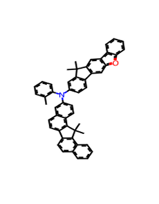 Cc1ccccc1N(c1ccc2c(c1)C(C)(C)c1cc3c(cc1-2)oc1ccccc13)c1ccc2c3c(ccc2c1)-c1ccc2ccccc2c1C3(C)C